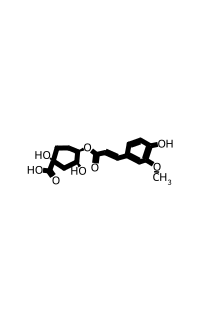 COc1cc(/C=C/C(=O)O[C@@H]2CC[C@](O)(C(=O)O)C[C@@H]2O)ccc1O